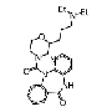 CCN(CC)CCCC1CN(C(=O)N2c3ccccc3C(=O)Nc3cccnc32)CCO1